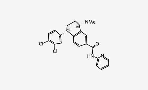 CN[C@H]1CC[C@@H](c2ccc(Cl)c(Cl)c2)c2ccc(C(=O)Nc3ccccn3)cc21